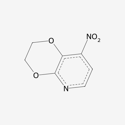 O=[N+]([O-])c1ccnc2c1OCCO2